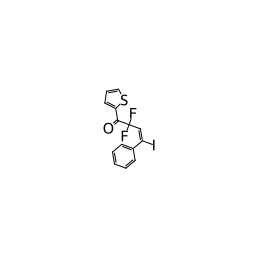 O=C(c1cccs1)C(F)(F)/C=C(/I)c1ccccc1